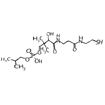 CC(C)COP(=O)(O)OCC(C)(C)C(O)C(=O)NCCC(=O)NCCS